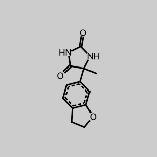 CC1(c2ccc3c(c2)OCC3)NC(=O)NC1=O